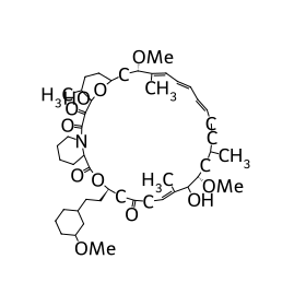 COC1CCCC(CC[C@@H]2CC(=O)C/C=C(\C)C(O)[C@@H](OC)CC(C)CC/C=C/C=C/C=C(\C)[C@@H](OC)CC3CCC(C)C(O)(O3)C(=O)C(=O)N3CCCCC3C(=O)O2)C1